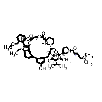 CCn1c(-c2ccccc2COC)c2c3cc(ccc31)-c1cc(O)cc(c1)C[C@H](NC(=O)[C@H](C(C)C)N(C)C(=O)[C@H]1CCN(C(=O)/C=C/CN(C)C)C1)C(=O)N1CCC[C@H](N1)C(=O)OCC(C)(C)C2